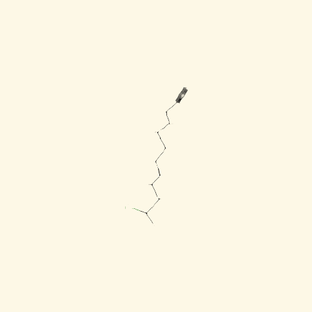 C#CCCCCCCCCC(C)Cl